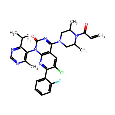 C=CC(=O)N1C(C)CN(c2nc(=O)n(-c3c(C)ncnc3C(C)C)c3nc(-c4ccccc4F)c(Cl)cc23)CC1C